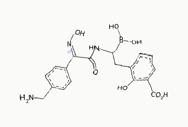 NCc1ccc(/C(=N/O)C(=O)NC(Cc2cccc(C(=O)O)c2O)B(O)O)cc1